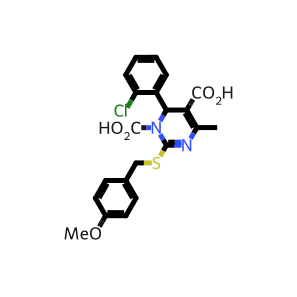 COc1ccc(CSC2=NC(C)=C(C(=O)O)C(c3ccccc3Cl)N2C(=O)O)cc1